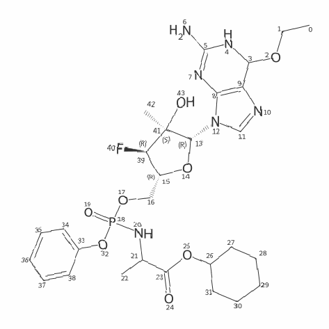 CCOC1NC(N)=Nc2c1ncn2[C@@H]1O[C@H](COP(=O)(NC(C)C(=O)OC2CCCCC2)Oc2ccccc2)[C@@H](F)[C@@]1(C)O